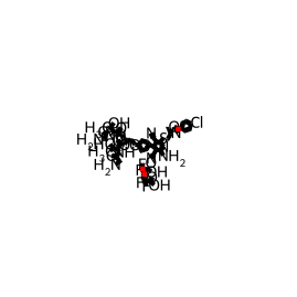 CC(O)C(NC(=O)CN)C(=O)O[C@H](COC(=O)[C@@H](NC(=O)CN)[C@@H](C)O)COc1ccc(-c2c(C#N)c(N)nc(SCc3coc(-c4ccc(Cl)cc4)n3)c2C#N)cc1.O=C(O)C(F)(F)F.O=C(O)C(F)(F)F